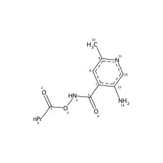 CCCC(=O)ONC(=O)c1cc(C)ncc1N